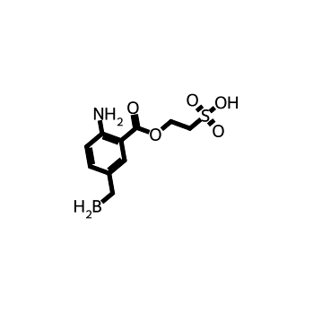 BCc1ccc(N)c(C(=O)OCCS(=O)(=O)O)c1